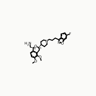 COc1ccc2c(c1OC)C[C@H](C1CCN(CCCc3noc4cc(F)ccc34)CC1)O[C@@H]2CN